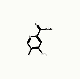 CNC(=O)c1cc(N)c(C)cn1